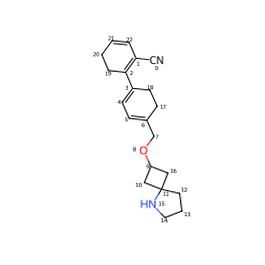 N#CC1=C(C2=CC=C(COC3CC4(CCCN4)C3)CC2)CCC=C1